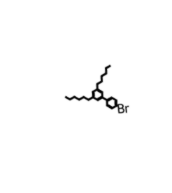 CCCCCCc1cc(CCCCCC)cc(-c2ccc(Br)cc2)c1